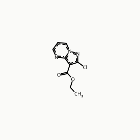 CCOC(=O)c1c(Cl)nn2cccnc12